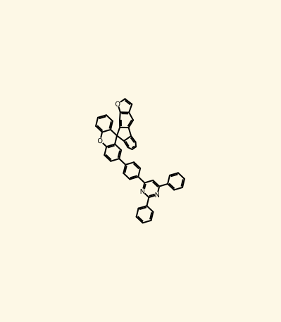 c1ccc(-c2cc(-c3ccc(-c4ccc5c(c4)C4(c6ccccc6O5)c5ccccc5-c5cc6ccoc6cc54)cc3)nc(-c3ccccc3)n2)cc1